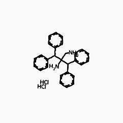 Cl.Cl.NCC(N)(C(c1ccccc1)c1ccccc1)C(c1ccccc1)c1ccccc1